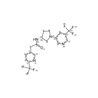 O=C(Cc1ccc(C(F)(F)F)nc1)N[C@@H]1CCN(c2cncc(C(F)(F)F)c2)C1